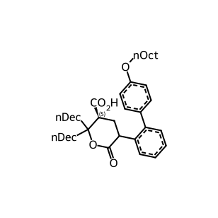 CCCCCCCCCCC1(CCCCCCCCCC)OC(=O)C(c2ccccc2-c2ccc(OCCCCCCCC)cc2)C[C@@H]1C(=O)O